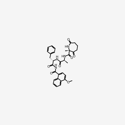 COc1ccc(C(=O)NC(=O)[C@H](Cc2ccccc2)NC(=O)[C@H](C)NC(=O)[C@]2(C)NC(=O)CCCC2=O)c2ccccc12